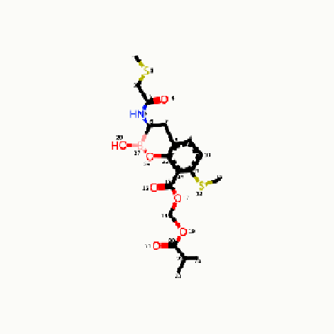 CSCC(=O)N[C@H]1Cc2ccc(SC)c(C(=O)OCOC(=O)C(C)C)c2OB1O